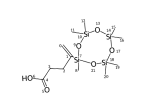 C=C(CCC(=O)O)[Si]1(C)O[Si](C)(C)O[Si](C)(C)O[Si](C)(C)O1